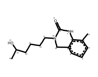 Cc1cccc2c1NC(=O)N(CCCCC(C)O)C2